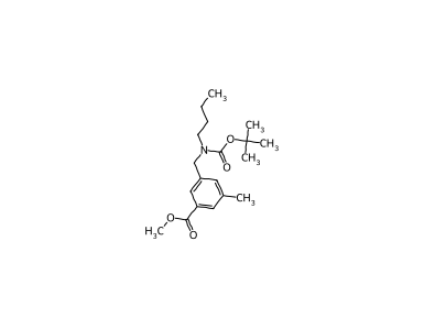 CCCCN(Cc1cc(C)cc(C(=O)OC)c1)C(=O)OC(C)(C)C